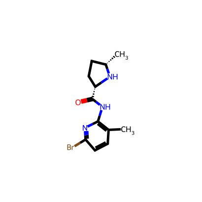 Cc1ccc(Br)nc1NC(=O)[C@@H]1CC[C@H](C)N1